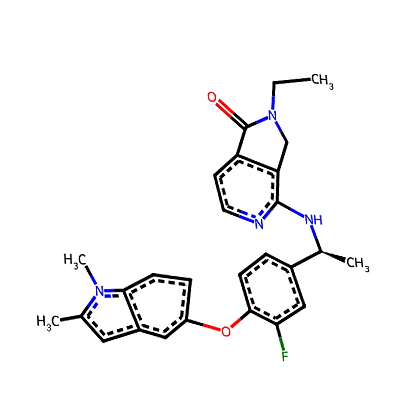 CCN1Cc2c(ccnc2N[C@@H](C)c2ccc(Oc3ccc4c(c3)cc(C)n4C)c(F)c2)C1=O